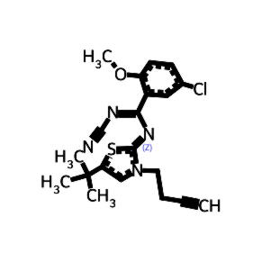 C#CCCn1cc(C(C)(C)C)s/c1=N\C(=NC#N)c1cc(Cl)ccc1OC